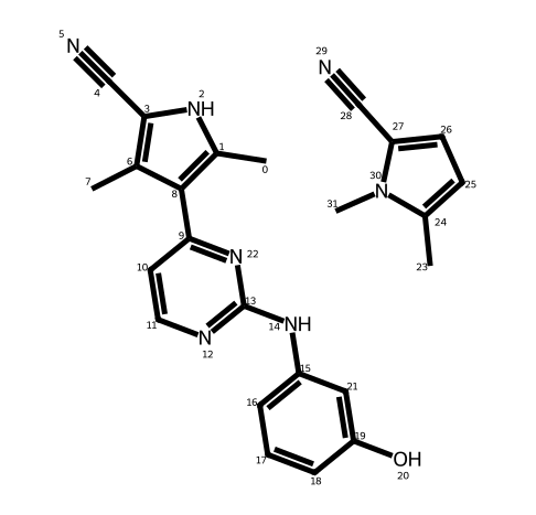 Cc1[nH]c(C#N)c(C)c1-c1ccnc(Nc2cccc(O)c2)n1.Cc1ccc(C#N)n1C